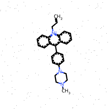 C=CC[n+]1c2ccccc2c(-c2ccc(N3CCN(C)CC3)cc2)c2ccccc21